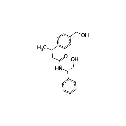 CC(CC(=O)N[C@H](CO)c1ccccc1)c1ccc(CO)cc1